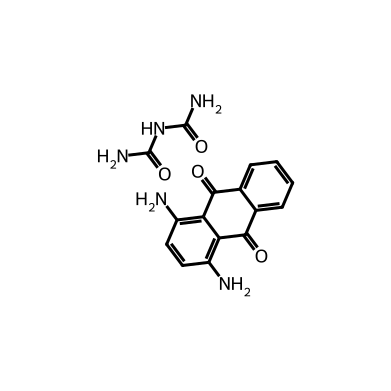 NC(=O)NC(N)=O.Nc1ccc(N)c2c1C(=O)c1ccccc1C2=O